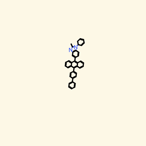 Cc1nc2cc(-c3c4ccccc4c(-c4ccc(-c5ccccc5)cc4)c4ccccc34)ccc2n1C1C=CC=CC1